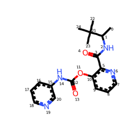 CC(NC(=O)c1ncccc1OC(=O)Nc1cccnc1)C(C)(C)C